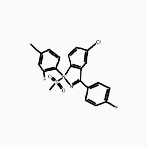 [CH]c1ccc([N+]2(S(C)(=O)=O)N=C(c3ccc(F)cc3)c3cc(Cl)ccc32)c(F)c1